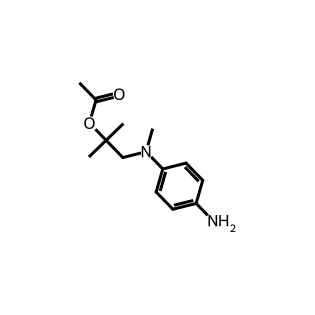 CC(=O)OC(C)(C)CN(C)c1ccc(N)cc1